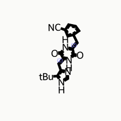 CC(C)(C)c1[nH]cnc1/C=c1\[nH]c(=O)/c(=C/c2cccc(C#N)c2)[nH]c1=O